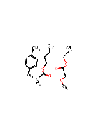 CCCCOC(C)=O.CCCOC(=O)COC.Cc1ccc(C)cc1